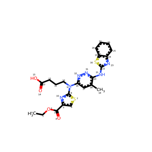 CCOC(=O)c1csc(N(CCCC(=O)O)c2cc(C)c(Nc3nc4ccccc4s3)nn2)n1